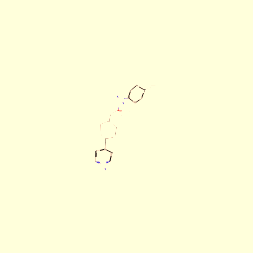 O=C(CC1CCC(c2ccncc2)CC1)Nc1ccc(F)cc1